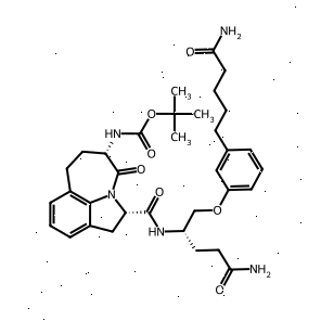 CC(C)(C)OC(=O)N[C@H]1CCc2cccc3c2N(C1=O)[C@H](C(=O)N[C@@H](CCC(N)=O)COc1cccc(CCCCC(N)=O)c1)C3